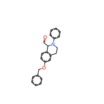 O=CC1c2ccc(OCc3ccccc3)cc2CCN1c1ccccc1